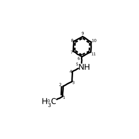 CC=CCCNc1ccccc1